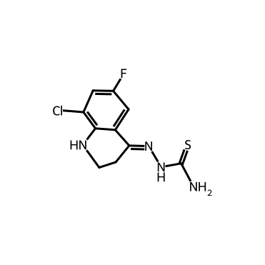 NC(=S)NN=C1CCNc2c(Cl)cc(F)cc21